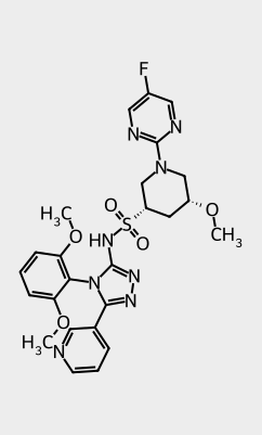 COc1cccc(OC)c1-n1c(NS(=O)(=O)[C@H]2C[C@@H](OC)CN(c3ncc(F)cn3)C2)nnc1-c1cccnc1